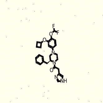 O=C(Cc1c[nH]cn1)N1CCN(c2ccc(OC(F)F)c(OC3CCC3)c2)C[C@@H]1Cc1ccccc1